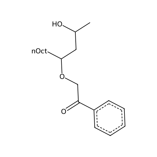 CCCCCCCCC(CC(C)O)OCC(=O)c1ccccc1